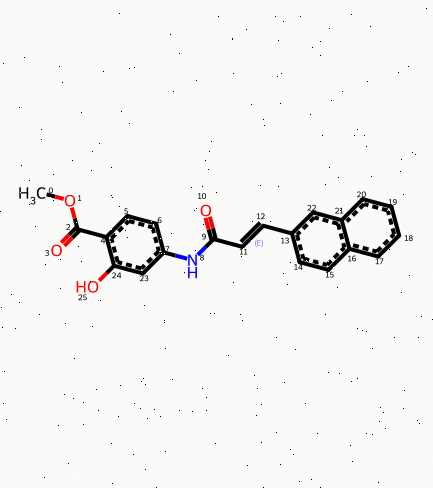 COC(=O)c1ccc(NC(=O)/C=C/c2ccc3ccccc3c2)cc1O